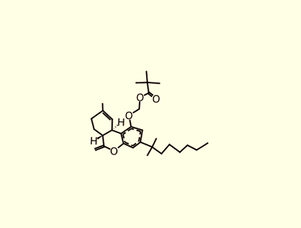 C=C1Oc2cc(C(C)(C)CCCCCC)cc(OCOC(=O)C(C)(C)C)c2[C@@H]2C=C(C)CC[C@@H]12